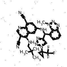 Cn1nnc2cccc(C(Nc3cc(C#N)c4ncc(C#N)c(NCC(C)(C)C)c4c3)c3cn(C4(C(F)(F)F)CC4)nn3)c21